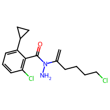 C=C(CCCCCl)N(N)C(=O)c1c(Cl)cccc1C1CC1